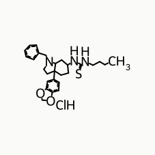 CCCCNC(=S)NC1CCC2(c3ccc4c(c3)OCO4)CCN(Cc3ccccc3)C2C1.Cl